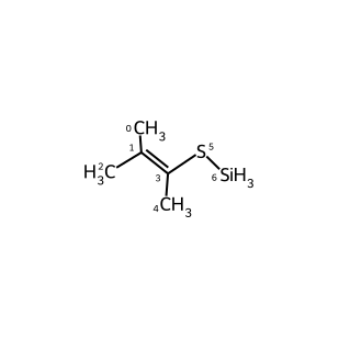 CC(C)=C(C)S[SiH3]